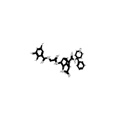 O=C(COC(=O)c1cc(I)cc(I)c1I)OC1C2CC3C1OC(=O)C3C2C(=O)OC1(c2ccccc2)CCNCC1